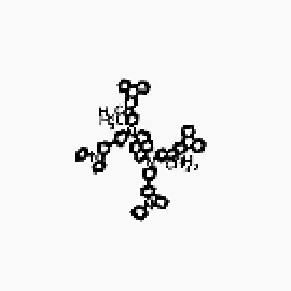 CC1(C)c2cc(N(c3ccc(-c4ccc5c(c4)c4ccccc4n5-c4ccccc4)cc3)c3ccc4ccc5c(N(c6ccc(-c7ccc8c(c7)c7ccccc7n8-c7ccccc7)cc6)c6ccc7c(c6)C(C)(C)c6cc8c9ccccc9c9ccccc9c8cc6-7)ccc6ccc3c4c65)ccc2-c2cc3c4ccccc4c4ccccc4c3cc21